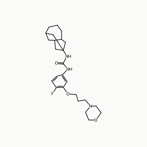 O=C(Nc1ccc(F)c(OCCCN2CCOCC2)c1)NC12CC3CCCC(C1)C(C3)C2